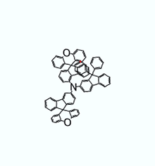 c1ccc(C2(c3ccccc3)c3ccccc3-c3ccc(N(c4ccc5c(c4)-c4ccccc4C54c5ccccc5Oc5ccccc54)c4cccc5c4-c4ccccc4C54c5ccccc5Oc5ccccc54)cc32)cc1